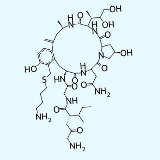 C=C1C[C@@H](C)NC(=O)C([C@@H](C)C(O)CO)NC(=O)C2C[C@@H](O)CN2C(=O)C(CC(N)=O)NC(=O)[C@@H](NC(=O)CNC(=O)[C@@H](CC(=O)CN)C(C)CC)Cc2c1ccc(O)c2CSCCCCN